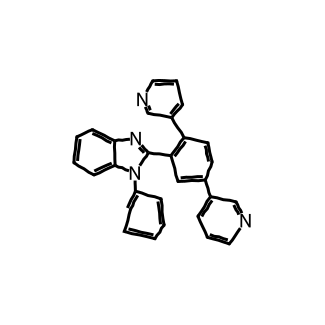 c1ccc(-n2c(-c3cc(-c4cccnc4)ccc3-c3cccnc3)nc3ccccc32)cc1